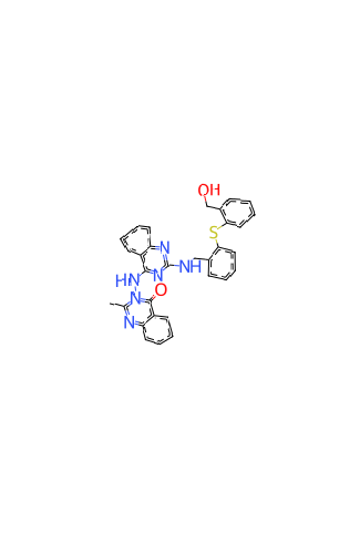 Cc1nc2ccccc2c(=O)n1Nc1nc(NCc2ccccc2Sc2ccccc2CO)nc2ccccc12